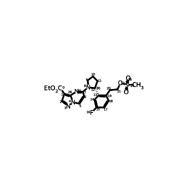 CCOC(=O)c1cnn2ccc(N3CCC[C@@H]3c3cc(F)ccc3CCOS(C)(=O)=O)nc12